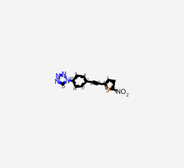 O=[N+]([O-])c1ccc(C#Cc2ccc(-n3cnnn3)cc2)s1